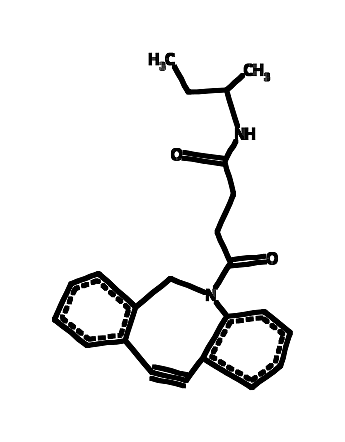 CCC(C)NC(=O)CCC(=O)N1Cc2ccccc2C#Cc2ccccc21